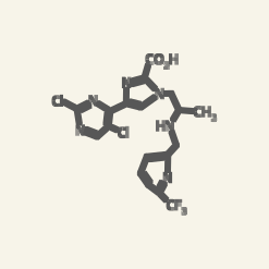 CC(Cn1cc(-c2nc(Cl)ncc2Cl)nc1C(=O)O)NCc1cccc(C(F)(F)F)n1